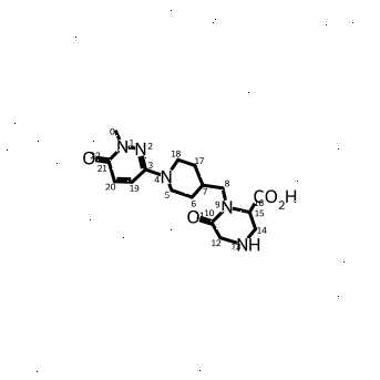 Cn1nc(N2CCC(CN3C(=O)CNCC3C(=O)O)CC2)ccc1=O